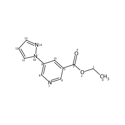 CCOC(=O)c1cncc(-n2cccn2)c1